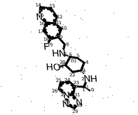 C[C@H](N[C@H]1CC[C@H](NCc2cc3cccnc3cc2F)[C@H](O)C1)c1cccn2ncnc12